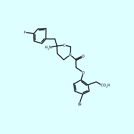 NC1(Cc2ccc(F)cc2)CCN(C(=O)COc2ccc(Br)cc2CC(=O)O)CC1